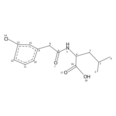 CC(C)CC(NC(=O)Cc1cccc(Cl)c1)C(=O)O